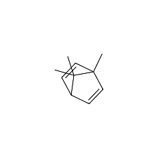 CC12C=CC(C=C1)C2(C)C